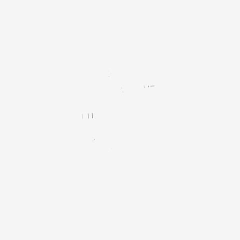 Cc1cc(S(=O)O)cs1.[LiH]